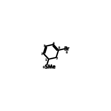 CSC1C=CC=C(Br)C1